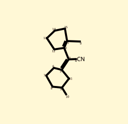 CC1=C(/C(C#N)=C2\CCCC(C)C2)CCCC1